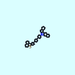 c1ccc2cc3c(cc2c1)c1c2ccccc2ccc1n3-c1ccc(-c2ccc(-c3ccc4c(c3)-c3cccc5cccc(c35)S4)cc2)cc1